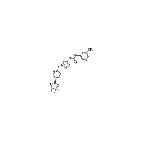 CC1(C)OB(c2ccc(C[n+]3cc([N-]C(=O)Nc4cncc(C(F)(F)F)c4)on3)nc2)OC1(C)C